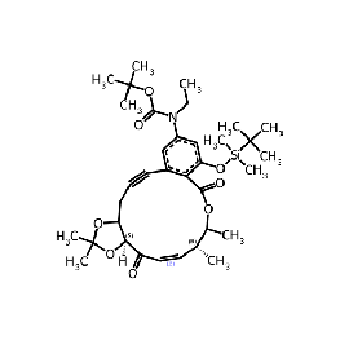 CCN(C(=O)OC(C)(C)C)c1cc2c(c(O[Si](C)(C)C(C)(C)C)c1)C(=O)OC(C)[C@H](C)/C=C\C(=O)[C@H]1OC(C)(C)OC1CC#C2